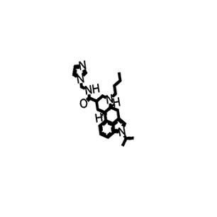 CCCCN1CC(C(=O)NCn2ccnc2)C[C@@H]2c3cccc4c3c(cn4C(C)C)C[C@H]21